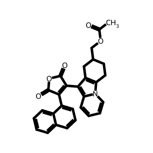 CC(=O)OCC1CCc2c(c(C3=C(c4cccc5ccccc45)C(=O)OC3=O)c3ccccn23)C1